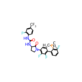 CP(C)c1c(F)cccc1-c1ccc(N2CCC(NC(=O)Nc3ccc(C(F)(F)F)cc3F)C2=O)c(F)c1F